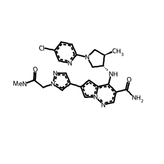 CNC(=O)Cn1cc(-c2cc3c(N[C@@H]4CN(c5ccc(Cl)cn5)C[C@H]4C)c(C(N)=O)cnn3c2)cn1